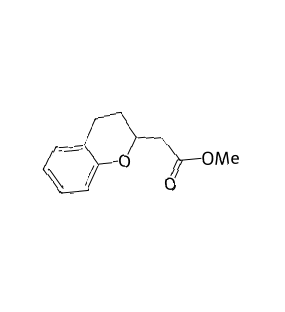 COC(=O)CC1CCc2ccccc2O1